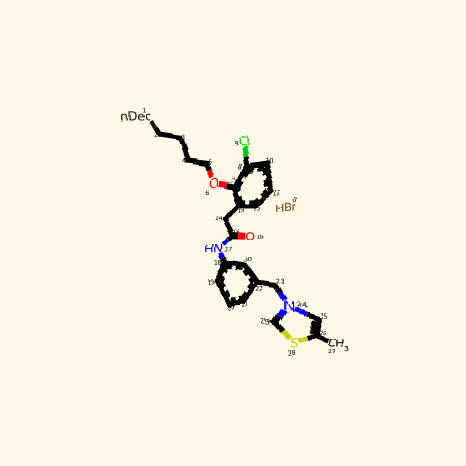 Br.CCCCCCCCCCCCCCOc1c(Cl)cccc1CC(=O)Nc1cccc(CN2C=C(C)SC2)c1